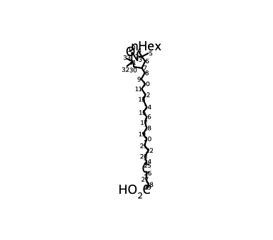 CCCCCCON1C(C)(C)CC(CCCCCCCCCCCCCCCCCCCCCC(=O)O)CC1(C)C